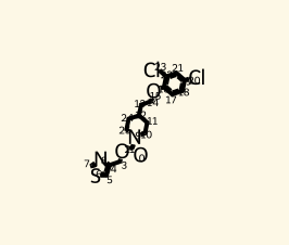 O=C(OCc1cscn1)N1CCC(CCOc2ccc(Cl)cc2Cl)CC1